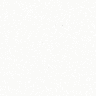 CCCCCCCCC[n+]1cc(C)cc(C)c1